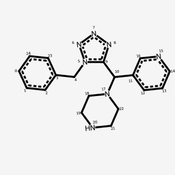 c1ccc(Cn2nnnc2C(c2cccnc2)N2CCNCC2)cc1